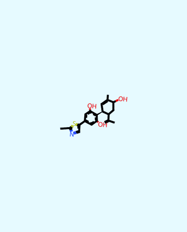 C=C(C)C1CC(O)C(C)=C[C@@H]1c1c(O)cc(-c2cnc(C)s2)cc1O